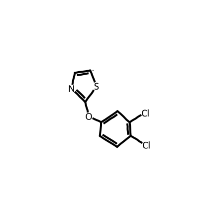 Clc1ccc(Oc2nc[c]s2)cc1Cl